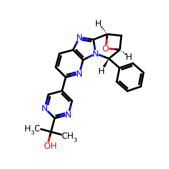 CC(C)(O)c1ncc(-c2ccc3nc4n(c3n2)[C@@H](c2ccccc2)[C@@H]2C[C@H]4O2)cn1